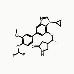 COc1cc(-c2cc(O[C@H](C)C3CNC(=O)C3)c3c(c2)ncn3C2CC2)ccc1OC(F)F